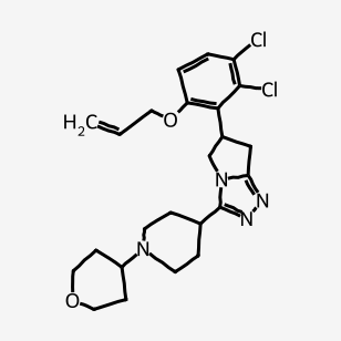 C=CCOc1ccc(Cl)c(Cl)c1C1Cc2nnc(C3CCN(C4CCOCC4)CC3)n2C1